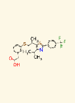 CC(C)c1nc(-c2ccc(C(F)(F)F)cc2)sc1C(C)CSc1cccc(CC(=O)O)c1